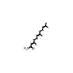 CC(C)=CCC/C(C)=C/CC/C(C)=C/C(N)=O